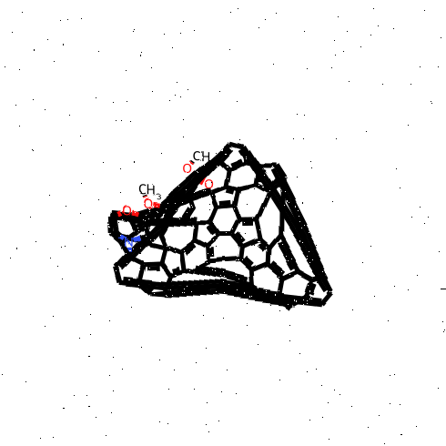 COC(=O)c1ccc(CC23c4c5c6c7c8c9c%10c%11c(c2c2c%12c3c3c%13c4c6c4c6c%13c%13c3c3c%12c%12c%14c2c%11c2c%11c%10c%10c8c8c7c4c4c6c6c%13c7c3c%12c3c(c%142)c2c%11c%10c%10c8c4c4c%10c2c3c7c64)C59N2CCOCC2)c(OC)c1